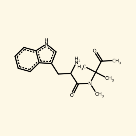 CC(=O)C(C)(C)N(C)C(=O)C(N)Cc1c[nH]c2ccccc12